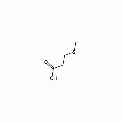 [CH2]SCCC(=O)O